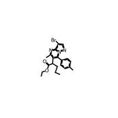 CCCC(C(=O)OCC)c1c(C)nc2c(Br)cnn2c1-c1ccc(C)cc1